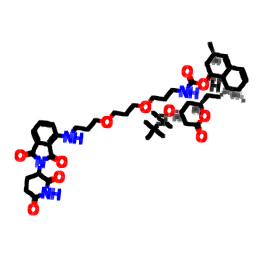 C[C@H]1C=C2C=C[C@H](C)[C@H](CC[C@@H]3C[C@@H](O[Si](C)(C)C(C)(C)C)CC(=O)O3)[C@H]2[C@@H](OC(=O)NCCCOCCCOCCCNc2cccc3c2C(=O)N(C2CCC(=O)NC2=O)C3=O)C1